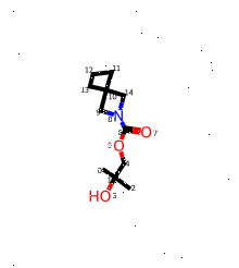 CC(C)(O)COC(=O)N1CC2(CCC2)C1